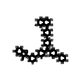 Cc1c(-c2cccc(-c3ccc(N(c4ccc(-c5ccccc5)cc4)c4ccc(-c5ccc(-c6cccc7ccccc67)cc5)cc4)cc3)c2)oc2ccccc12